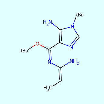 C/C=C(N)\N=C(\OC(C)(C)C)c1ncn(C(C)(C)C)c1N